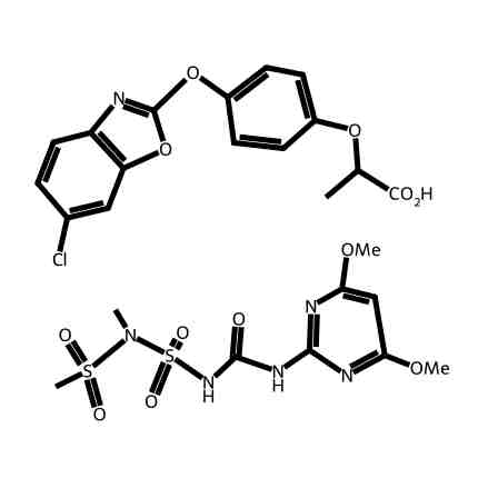 CC(Oc1ccc(Oc2nc3ccc(Cl)cc3o2)cc1)C(=O)O.COc1cc(OC)nc(NC(=O)NS(=O)(=O)N(C)S(C)(=O)=O)n1